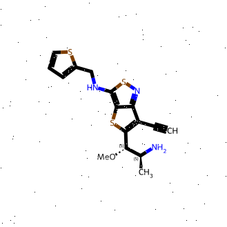 C#Cc1c([C@@H](OC)[C@H](C)N)sc2c(NCc3cccs3)snc12